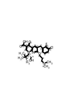 CN(C)CCCOc1nc2c(cc1Cc1cccc(Cl)c1F)c(=O)c(C(=O)O)cn2[C@H](CO)C(C)(C)C